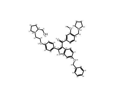 COc1cc(C(=O)c2c(-c3ccc(OCCN4CCC[C@H]4CO)cc3)sc3cc(OCc4ccccc4)ccc23)ccc1CN1CCCC1